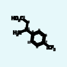 NN(CC(=O)O)c1ccc(C(F)(F)F)cc1